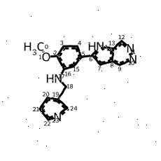 COc1ccc(-c2cc3cnncc3[nH]2)cc1NCc1cccnc1